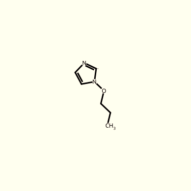 CCCOn1[c]ncc1